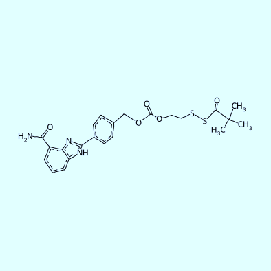 CC(C)(C)C(=O)SSCCOC(=O)OCc1ccc(-c2nc3c(C(N)=O)cccc3[nH]2)cc1